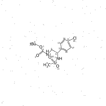 CC(C)(C)OC(=O)NCC(NS(C)(=O)=O)c1ccc(Cl)cc1